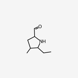 CCC1NC(C=O)CC1C